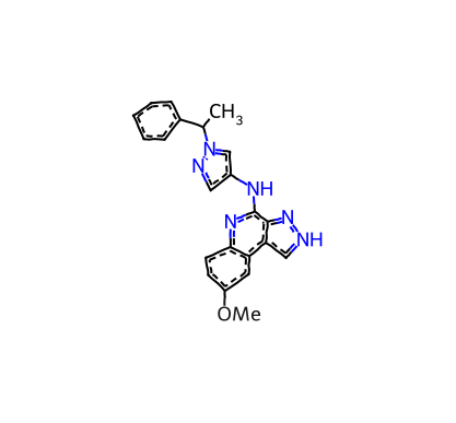 COc1ccc2nc(Nc3cnn(C(C)c4ccccc4)c3)c3n[nH]cc3c2c1